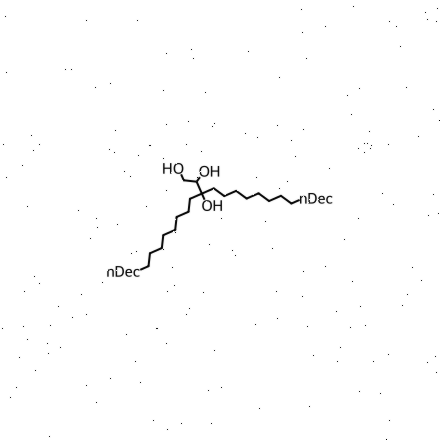 CCCCCCCCCCCCCCCCCCC(O)(CCCCCCCCCCCCCCCCCC)C(O)CO